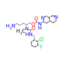 CN(C(=O)NCc1cccc(F)c1Cl)C(CCCN)COC(=O)Nc1cc2ccncc2cn1